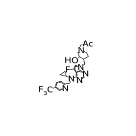 CC(=O)CN1CCC(Cn2cc(F)c3c(N(Cc4ccc(C(F)(F)F)cn4)C4CC4)ncnc32)C(O)C1